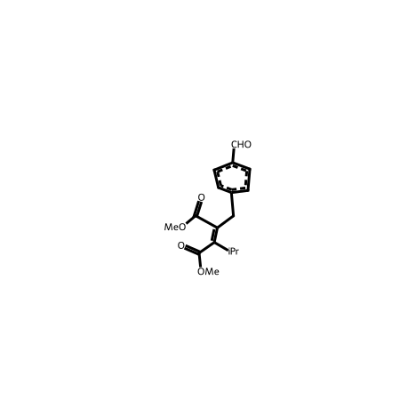 COC(=O)/C(Cc1ccc(C=O)cc1)=C(\C(=O)OC)C(C)C